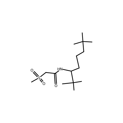 CC(C)(C)CCCC(NC(=O)CS(C)(=O)=O)C(C)(C)C